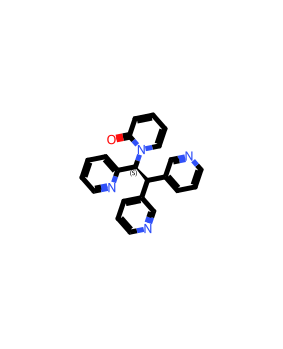 O=c1ccccn1[C@H](c1ccccn1)C(c1cccnc1)c1cccnc1